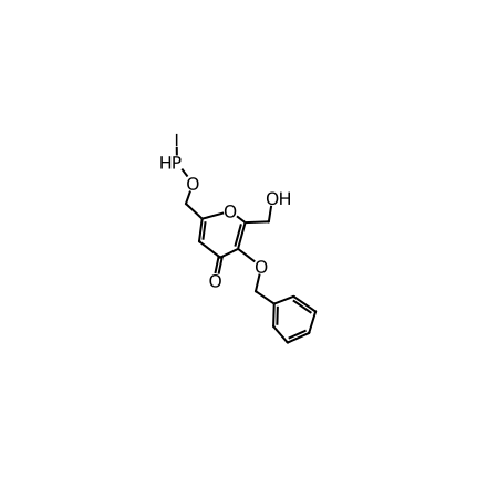 O=c1cc(COPI)oc(CO)c1OCc1ccccc1